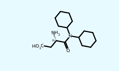 N[C@@H](CC(=O)O)C(=O)N(C1CCCCC1)C1CCCCC1